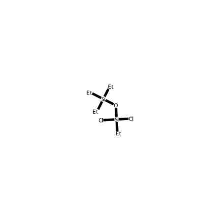 CC[Si](Cl)(Cl)O[Si](CC)(CC)CC